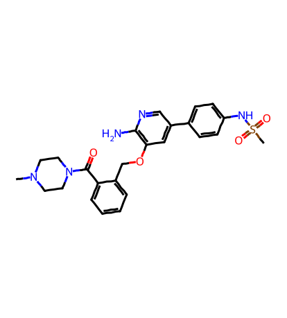 CN1CCN(C(=O)c2ccccc2COc2cc(-c3ccc(NS(C)(=O)=O)cc3)cnc2N)CC1